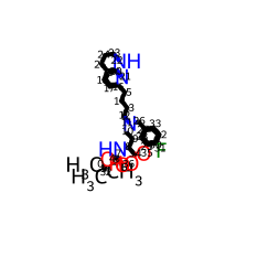 CC(C)(C)OC(=O)NC(CCN(CCCCc1ccc2c(n1)NCCC2)Cc1ccc(F)cc1)C(=O)O